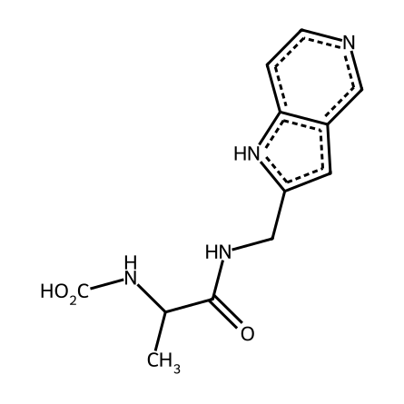 CC(NC(=O)O)C(=O)NCc1cc2cnccc2[nH]1